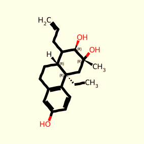 C=CCC1[C@H]2CCc3cc(O)ccc3[C@]2(CC)C[C@@](C)(O)[C@@H]1O